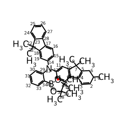 CC1C=CC2=C(C1)C(C)(C)c1cc(N(c3ccc4c(c3)C(C)(C)c3ccccc3-4)c3ccccc3B3OC(C)(C)C(C)(C)O3)ccc12